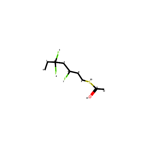 CCC(F)(F)CC(F)CCSC(C)=O